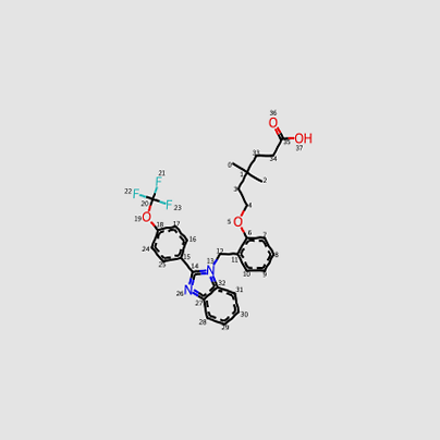 CC(C)(CCOc1ccccc1Cn1c(-c2ccc(OC(F)(F)F)cc2)nc2ccccc21)CCC(=O)O